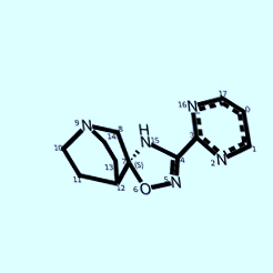 c1cnc(C2=NO[C@@]3(CN4CCC3CC4)N2)nc1